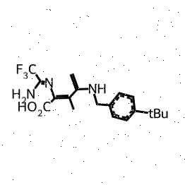 C=C(NCc1ccc(C(C)(C)C)cc1)/C(C)=C(\N=C(/N)C(F)(F)F)C(=O)O